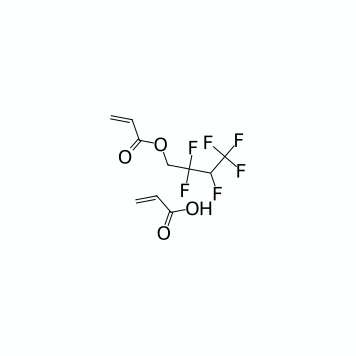 C=CC(=O)O.C=CC(=O)OCC(F)(F)C(F)C(F)(F)F